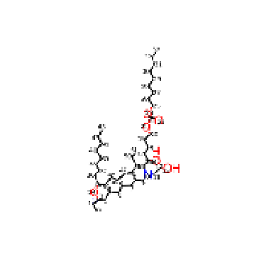 C/C=C(\CCCCCCCN(CCO)CC(O)CCCCOC(=O)OCCCCCCCCC)OC(CCCCCCCC)CCCCCCCC